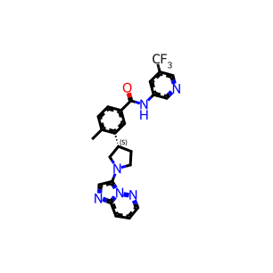 Cc1ccc(C(=O)Nc2cncc(C(F)(F)F)c2)cc1[C@@H]1CCN(c2cnc3cccnn23)C1